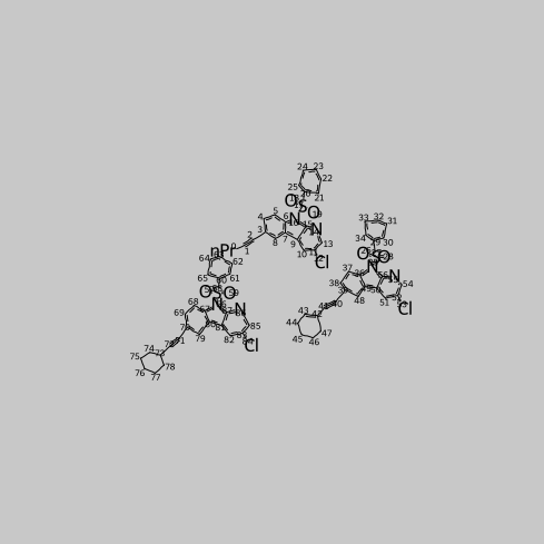 CCCC#Cc1ccc2c(c1)c1cc(Cl)cnc1n2S(=O)(=O)c1ccccc1.O=S(=O)(c1ccccc1)n1c2ccc(C#CC3=CCCCC3)cc2c2cc(Cl)cnc21.O=S(=O)(c1ccccc1)n1c2ccc(C#CC3CCCCC3)cc2c2cc(Cl)cnc21